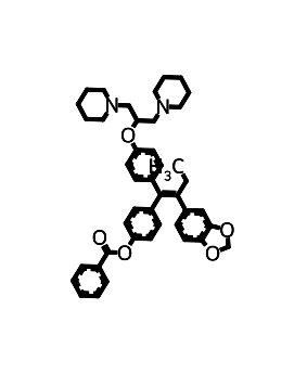 CCC(=C(c1ccc(OC(=O)c2ccccc2)cc1)c1ccc(OC(CN2CCCCC2)CN2CCCCC2)cc1)c1ccc2c(c1)OCO2